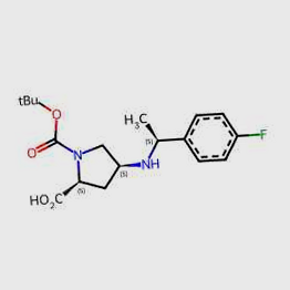 C[C@H](N[C@H]1C[C@@H](C(=O)O)N(C(=O)OC(C)(C)C)C1)c1ccc(F)cc1